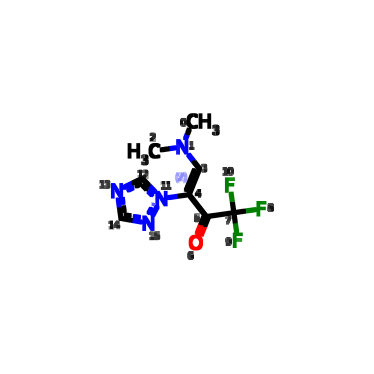 CN(C)/C=C(/C(=O)C(F)(F)F)n1cncn1